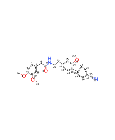 COc1ccc(CC(=O)NCCc2ccc(-c3ccc(C#N)cc3)c(OC)c2)cc1OC